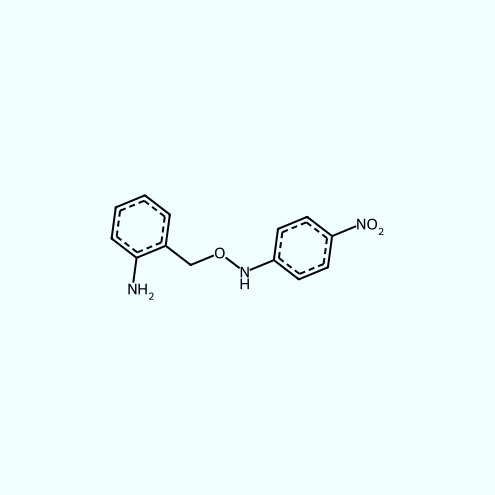 Nc1ccccc1CONc1ccc([N+](=O)[O-])cc1